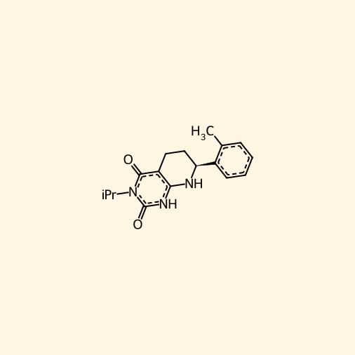 Cc1ccccc1[C@@H]1CCc2c([nH]c(=O)n(C(C)C)c2=O)N1